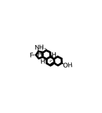 C[C@]12CC[C@H]3[C@@H](CC=C4C[C@H](O)CC[C@@]43C)[C@@H]1C[C@H](F)[C@@H]2N